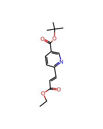 CCOC(=O)C=Cc1ccc(C(=O)OC(C)(C)C)cn1